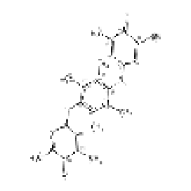 CC1=CC(=Cc2c(C)c(C)c(/C=C3\C=C(C)C(=O)C(C(C)(C)C)=C3)c(C)c2C)C=C(C)C1=O